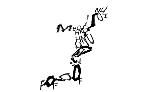 COC(=O)N[C@@H](CC/C=C/C(N)=O)C(=O)Nc1cccn(Cc2nc3cc(F)cc(OCc4ccc(F)cc4F)c3s2)c1=O